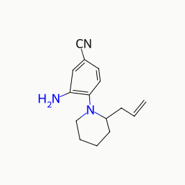 C=CCC1CCCCN1c1ccc(C#N)cc1N